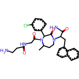 CC1CCN(C(Cc2cccc3ccccc23)C(N)=O)C(=O)C(c2cccc(Cl)c2)N1C(=O)CNC(=O)CCN